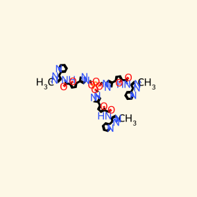 Cn1cc(NC(=O)c2ccc(-c3cnn(COP(=O)(OCn4cc(-c5ccc(C(=O)Nc6cn(C)nc6-c6ccccn6)o5)cn4)OCn4cc(-c5ccc(C(=O)Nc6cn(C)nc6-c6ccccn6)o5)cn4)c3)o2)c(-c2ccccn2)n1